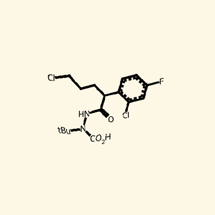 CC(C)(C)N(NC(=O)C(CCCCl)c1ccc(F)cc1Cl)C(=O)O